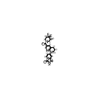 CC1CN(C(=O)c2cnc3c(c2)CCCN3c2ccn3c(=O)n(C)nc3c2)CCC1(F)F